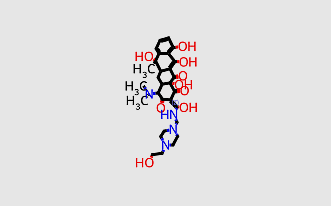 CN(C)C1C(=O)/C(=C(/O)NCN2CCN(CCO)CC2)C(=O)C2(O)C(=O)C3=C(O)c4c(O)cccc4C(C)(O)C3CC12